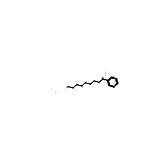 CCCCCCCCCCCCCCCCCC(C)c1ccccc1